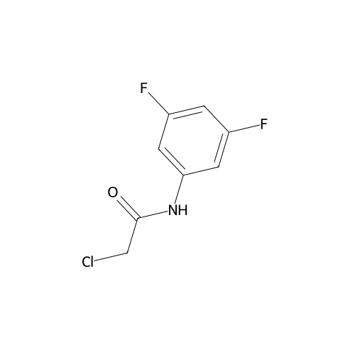 O=C(CCl)Nc1cc(F)cc(F)c1